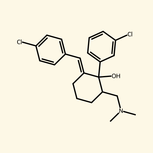 CN(C)CC1CCCC(=Cc2ccc(Cl)cc2)C1(O)c1cccc(Cl)c1